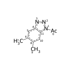 CC(=O)n1nnc2cc(C)c(C)cc21